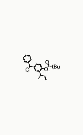 C=CC(C)c1cc(C(=O)c2ccccc2)ccc1OC(=O)C(C)(C)C